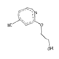 N#Cc1ccnc(OCCO)c1